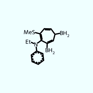 BC1=CC(B)C=CC(SC)=C1N(CC)c1ccccc1